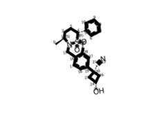 C[C@H]1CC[C@H](c2ccccc2)S(=O)(=O)N1Cc1ccc([C@]2(C#N)C[C@@H](O)C2)cc1F